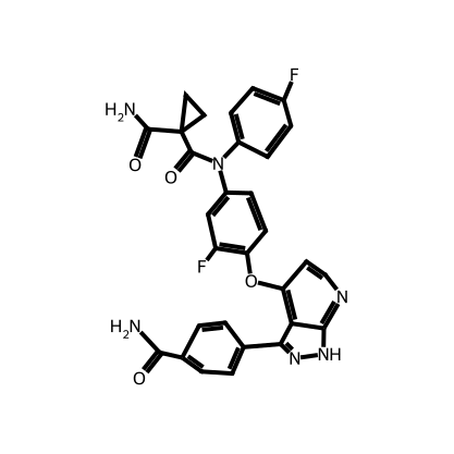 NC(=O)c1ccc(-c2n[nH]c3nccc(Oc4ccc(N(C(=O)C5(C(N)=O)CC5)c5ccc(F)cc5)cc4F)c23)cc1